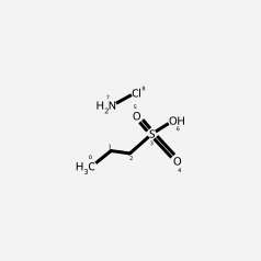 CCCS(=O)(=O)O.NCl